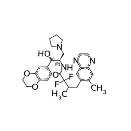 Cc1cc2nccnc2cc1CC(C)C(F)(F)C(=O)N[C@H](CN1CCCC1)[C@H](O)c1ccc2c(c1)OCCO2